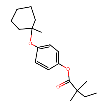 CCC(C)(C)C(=O)Oc1ccc(OC2(C)CCCCC2)cc1